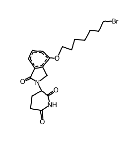 O=C1CCC(N2Cc3c(OCCCCCCCBr)cccc3C2=O)C(=O)N1